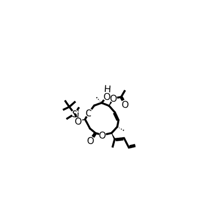 C=CC=C(C)[C@H]1OC(=O)C[C@H](O[Si](C)(C)C(C)(C)C)CC[C@@](C)(O)[C@@H](OC(C)=O)C=C[C@@H]1C